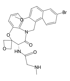 CNCC(=O)N[C@H]1C(=O)N(Cc2c(OC)ccc3cc(Br)ccc23)c2ccccc2OC12COC2